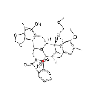 COCOc1c(OC)c(C)cc2c1[C@H]1[C@@H]3Cc4c(O)c(C)c5c(c4[C@H](CN4C(=O)c6ccccc6C4=O)N3[C@@H](C#N)[C@H](C2)N1C)OCO5